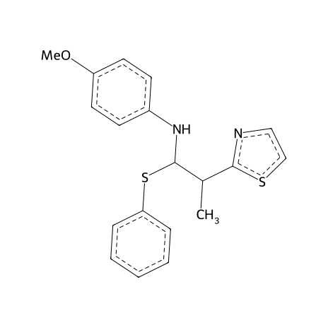 COc1ccc(NC(Sc2ccccc2)C(C)c2nccs2)cc1